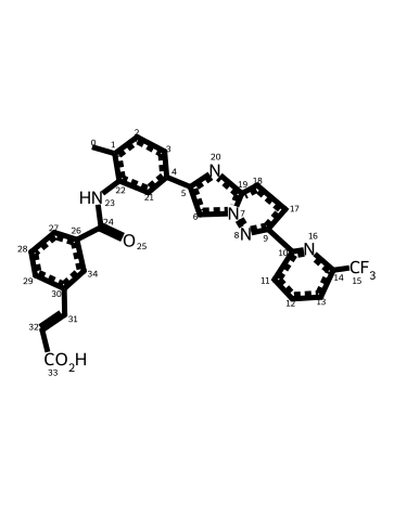 Cc1ccc(-c2cn3nc(-c4cccc(C(F)(F)F)n4)ccc3n2)cc1NC(=O)c1cccc(/C=C/C(=O)O)c1